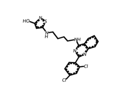 Oc1cc(NCCCCNc2nc(-c3ccc(Cl)cc3Cl)nc3ccccc23)sn1